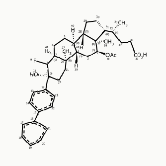 CC(=O)O[C@H]1C[C@H]2[C@@H](CC[C@@H]3C(F)[C@](O)(c4ccc(-c5ccccc5)cc4)CC[C@@]32C)[C@@H]2CC[C@H]([C@H](C)CCC(=O)O)[C@@]12C